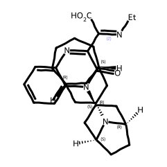 CC/N=C(\C(=O)O)c1nc2ccccc2n([C@H]2C[C@H]3CC[C@@H](C2)N3[C@@H]2C[C@@H]3CCCC[C@@H](C3)C2)c1=O